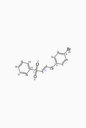 O=S(=O)(/C=C/Sc1ccc(Br)cc1)c1ccccc1